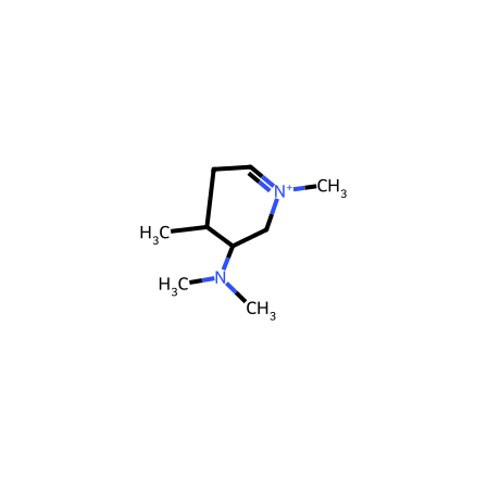 CC1CC=[N+](C)CC1N(C)C